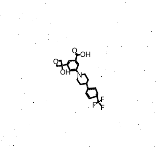 O=C(O)c1cc(N2CCC(c3ccc(C(F)(F)F)cc3)CC2)cc(C2(O)COC2)c1